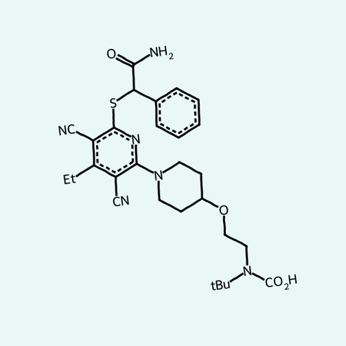 CCc1c(C#N)c(SC(C(N)=O)c2ccccc2)nc(N2CCC(OCCN(C(=O)O)C(C)(C)C)CC2)c1C#N